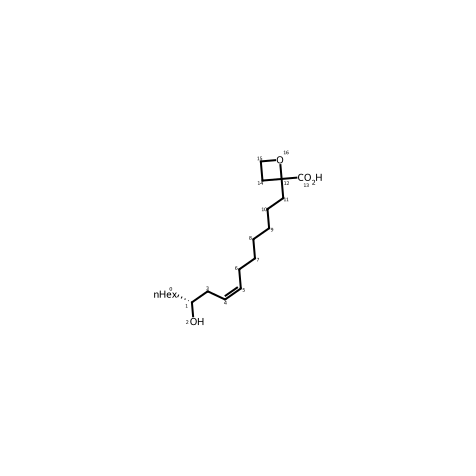 CCCCCC[C@@H](O)C/C=C\CCCCCCC1(C(=O)O)CCO1